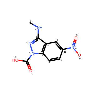 CNc1nn(C(=O)O)c2ccc([N+](=O)[O-])cc12